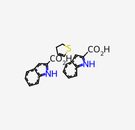 C1=CSCC1.O=C(O)c1cc2ccccc2[nH]1.O=C(O)c1cc2ccccc2[nH]1